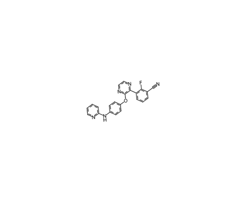 N#Cc1cccc(-c2nccnc2Oc2ccc(Nc3ccccn3)cc2)c1F